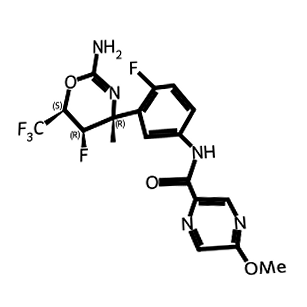 COc1cnc(C(=O)Nc2ccc(F)c([C@@]3(C)N=C(N)O[C@H](C(F)(F)F)[C@@H]3F)c2)cn1